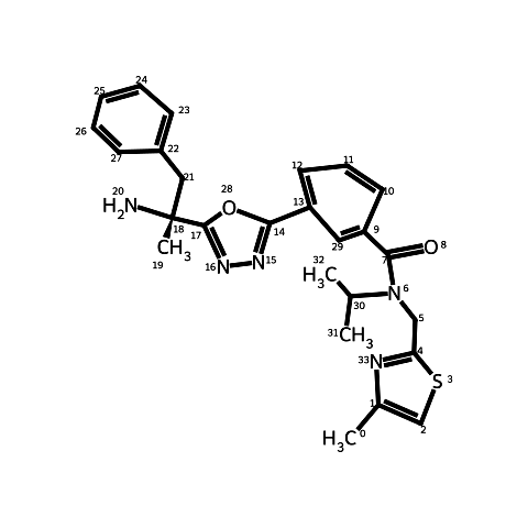 Cc1csc(CN(C(=O)c2cccc(-c3nnc([C@](C)(N)Cc4ccccc4)o3)c2)C(C)C)n1